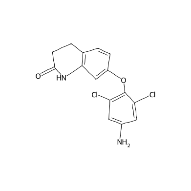 Nc1cc(Cl)c(Oc2ccc3c(c2)NC(=O)CC3)c(Cl)c1